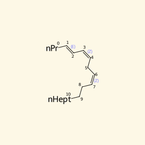 CCC/C=C/C=C\C/C=C\CCCCCCCCC